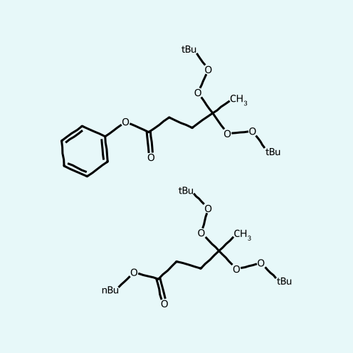 CC(C)(C)OOC(C)(CCC(=O)Oc1ccccc1)OOC(C)(C)C.CCCCOC(=O)CCC(C)(OOC(C)(C)C)OOC(C)(C)C